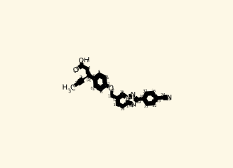 CC#C[C@@H](CC(=O)O)c1ccc(OCc2ccc3nc(-c4ccc(C#N)cc4)nn3c2)cc1